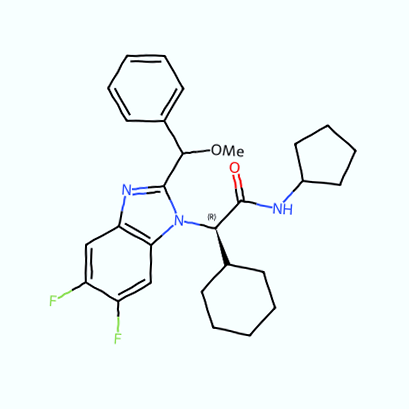 COC(c1ccccc1)c1nc2cc(F)c(F)cc2n1[C@@H](C(=O)NC1CCCC1)C1CCCCC1